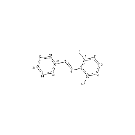 Cc1cccc(C)c1C=Cc1ccccc1